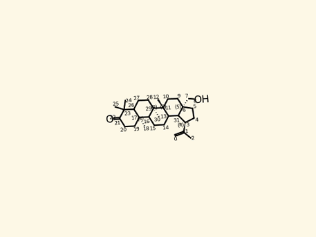 C=C(C)[C@@H]1CC[C@]2(CO)CC[C@]3(C)C(CCC4[C@@]5(C)CCC(=O)C(C)(C)C5CC[C@]43C)C12